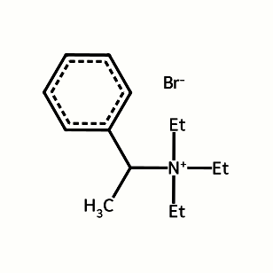 CC[N+](CC)(CC)C(C)c1ccccc1.[Br-]